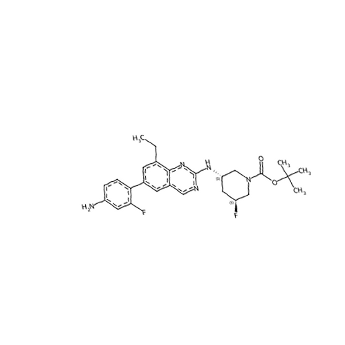 CCc1cc(-c2ccc(N)cc2F)cc2cnc(N[C@H]3C[C@H](F)CN(C(=O)OC(C)(C)C)C3)nc12